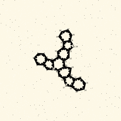 c1ccc2c(c1)cn1c3cc4sc5ccccc5c4cc3c3cc4sc5ccccc5c4cc3c21